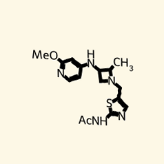 COc1cc(NC2CN(Cc3cnc(NC(C)=O)s3)C2C)ccn1